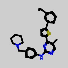 Cc1cnc(Nc2ccc(CN3CCCCC3)cc2)nc1-c1ccc(-c2cccc(C(C)C)c2)s1